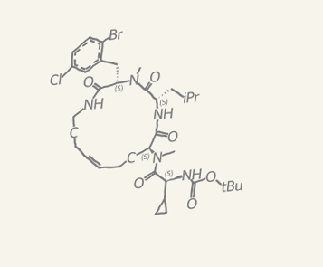 CC(C)C[C@@H]1NC(=O)[C@@H](N(C)C(=O)[C@@H](NC(=O)OC(C)(C)C)C2CC2)CCC=CCCCNC(=O)[C@H](Cc2cc(Cl)ccc2Br)N(C)C1=O